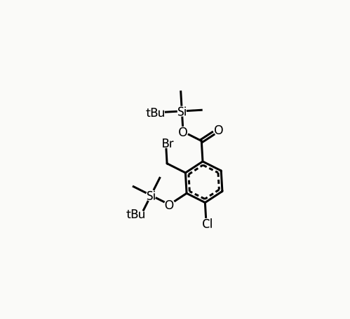 CC(C)(C)[Si](C)(C)OC(=O)c1ccc(Cl)c(O[Si](C)(C)C(C)(C)C)c1CBr